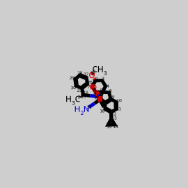 COC1CCC2(CC1)Cc1ccc(C3CC3)cc1C21N=C(N)N([C@H](C)c2ccccc2)C1=O